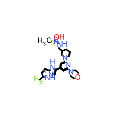 CSN(O)NCC1CCCN(c2cc(-c3cnc(/C=C\C(=N)C(F)F)[nH]3)cc(N3CCOCC3)n2)C1